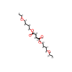 CCOCCCCOC(=O)CCC(=O)OCCCCOCC